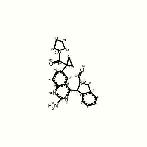 Nc1nc(C2c3ccccc3CN2C=O)c2cc(C3(C(=O)N4CCCC4)CC3)ccc2n1